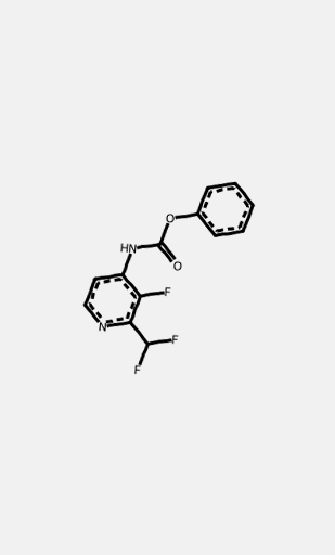 O=C(Nc1ccnc(C(F)F)c1F)Oc1ccccc1